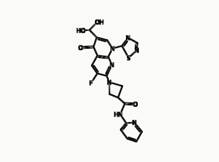 O=C(Nc1ccccn1)C1CN(c2nc3c(cc2F)c(=O)c(C(O)O)cn3-c2ncns2)C1